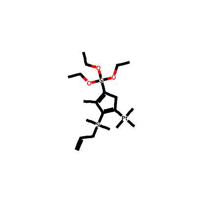 C=CC[Si](C)(C)C1=[C]([Pt]([CH3])([CH3])[CH3])CC([Si](OCC)(OCC)OCC)=C1C